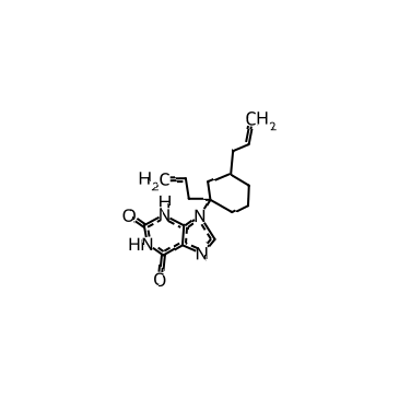 C=CCC1CCCC(CC=C)(n2cnc3c(=O)[nH]c(=O)[nH]c32)C1